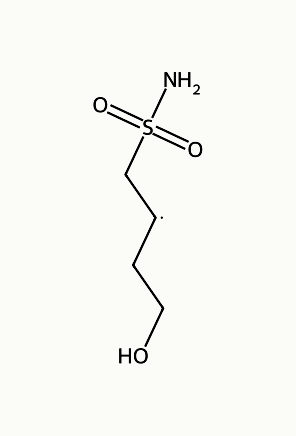 NS(=O)(=O)C[CH]CCO